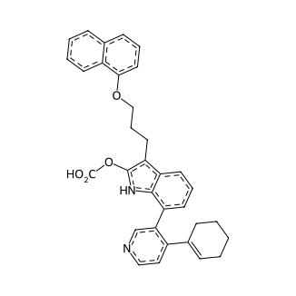 O=C(O)Oc1[nH]c2c(-c3cnccc3C3=CCCCC3)cccc2c1CCCOc1cccc2ccccc12